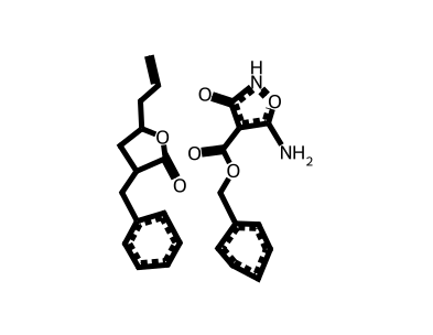 C=CCC1CC(Cc2ccccc2)C(=O)O1.Nc1o[nH]c(=O)c1C(=O)OCc1ccccc1